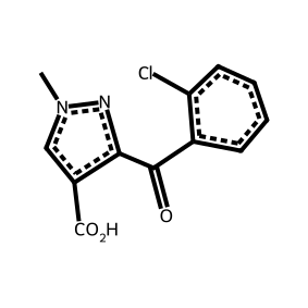 Cn1cc(C(=O)O)c(C(=O)c2ccccc2Cl)n1